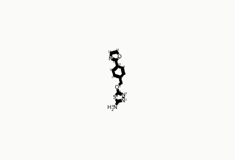 Nc1nnc(OCc2ccc(-c3ncco3)cc2)s1